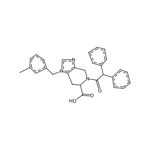 Cc1cccc(Cn2cnc3c2CC(C(=O)O)N(C(=O)C(c2ccccc2)c2ccccc2)C3)c1